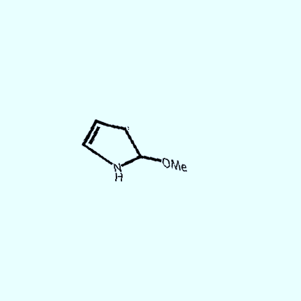 COC1[C]C=CN1